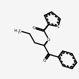 CCCC(OC(=O)c1cccs1)C(=O)c1ccccc1